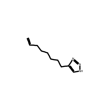 C=CCCCCCCc1c[nH]nn1